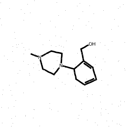 CN1CCN(C2CC=CC=C2CO)CC1